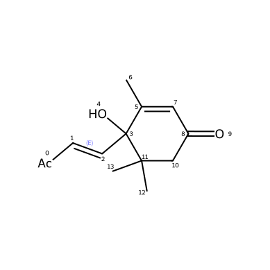 CC(=O)/C=C/C1(O)C(C)=CC(=O)CC1(C)C